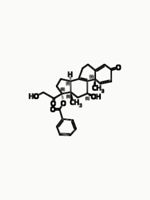 C[C@]12C=CC(=O)C=C1CCC1=C2[C@@H](O)C[C@@]2(C)[C@H]1CC[C@]2(OC(=O)c1ccccc1)C(=O)CO